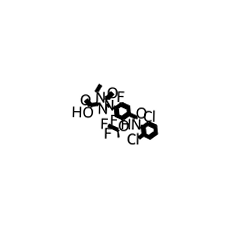 CCn1c(C(=O)O)nn(-c2cc(O[C@@H](C)C(F)(F)F)c(C(=O)Nc3c(Cl)cccc3Cl)cc2F)c1=O